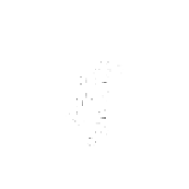 c1ccc(-c2c3c(c(-c4ccccc4)c4cc(-c5cccc(N(c6ccccn6)c6ccc7c8c(cccc68)-c6c-7c(-c7ccccc7)c7ccccc7c6-c6ccccc6)c5)ccc24)-c2cccc4c(N(c5ccccc5)c5cccnc5)ccc-3c24)cc1